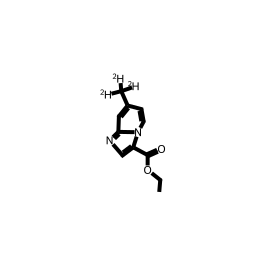 [2H]C([2H])([2H])c1ccn2c(C(=O)OCC)cnc2c1